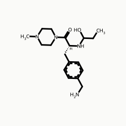 CCC(O)N[C@H](Cc1ccc(CN)cc1)C(=O)N1CCN(C)CC1